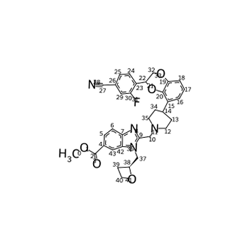 COC(=O)c1ccc2nc(CN3CCC(c4cccc5c4OC(c4ccc(C#N)cc4F)CO5)CC3)n(C[C@@H]3CCO3)c2c1